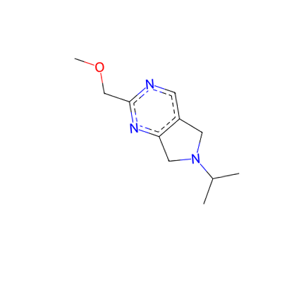 COCc1ncc2c(n1)CN(C(C)C)C2